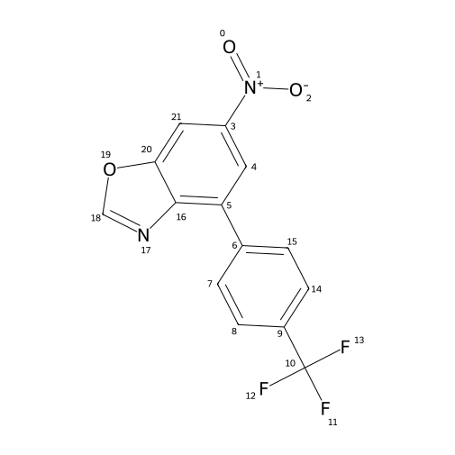 O=[N+]([O-])c1cc(-c2ccc(C(F)(F)F)cc2)c2ncoc2c1